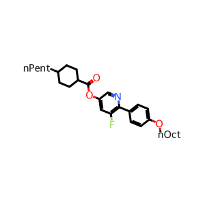 CCCCCCCCOc1ccc(-c2ncc(OC(=O)C3CCC(CCCCC)CC3)cc2F)cc1